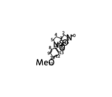 C=NCC1CCN(c2ccc(OC)cc2)S1(=O)=O